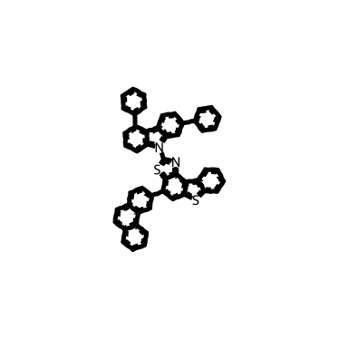 c1ccc(-c2ccc3c4c(-c5ccccc5)cccc4n(-c4nc5c(s4)c(-c4ccc6ccc7ccccc7c6c4)cc4sc6ccccc6c45)c3c2)cc1